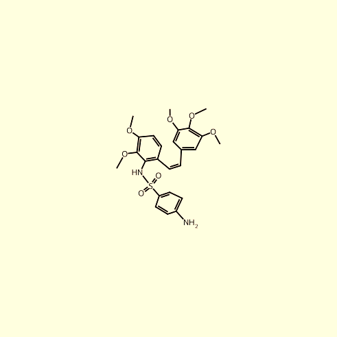 COc1cc(/C=C\c2ccc(OC)c(OC)c2NS(=O)(=O)c2ccc(N)cc2)cc(OC)c1OC